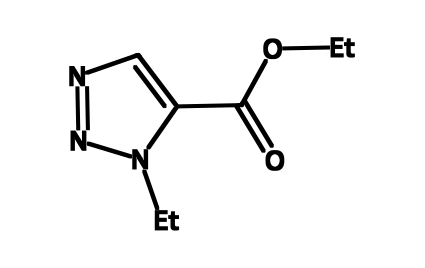 CCOC(=O)c1cnnn1CC